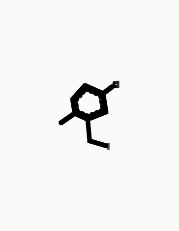 Cc1ccc(Cl)cc1CI